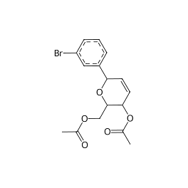 CC(=O)OCC1OC(c2cccc(Br)c2)C=CC1OC(C)=O